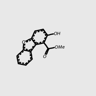 COC(=O)c1c(O)ccc2oc3ccccc3c12